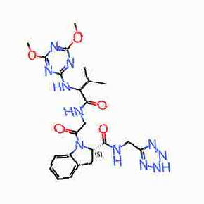 COc1nc(NC(C(=O)NCC(=O)N2c3ccccc3C[C@H]2C(=O)NCc2nn[nH]n2)C(C)C)nc(OC)n1